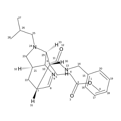 COC(=O)CC[C@@H]1[C@@H]2C=N[C@@]3(C(=O)NCc4ccccc4)[C@@H](C2)CN(CC(C)C)[C@@H]13